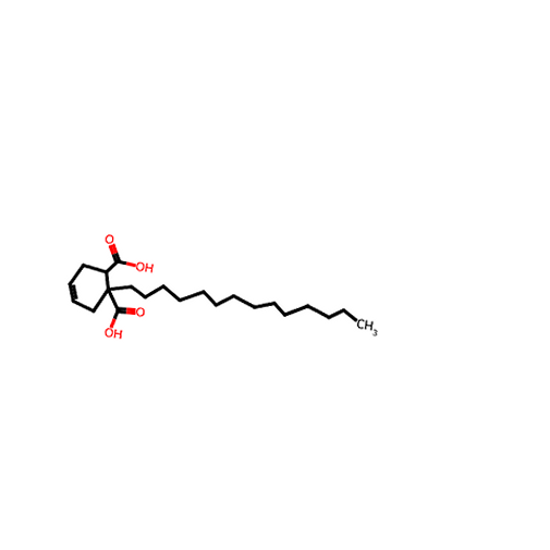 CCCCCCCCCCCCCCC1(C(=O)O)CC=CCC1C(=O)O